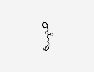 O=C(CCCCn1ccnc1)OCc1ccccc1